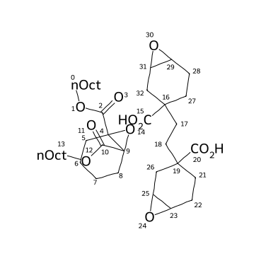 CCCCCCCCOC(=O)C12CCCCC1(C(=O)OCCCCCCCC)O2.O=C(O)C1(CCC2(C(=O)O)CCC3OC3C2)CCC2OC2C1